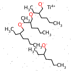 CCCCC(CC)C[O-].CCCCC(CC)C[O-].CCCCC(CC)C[O-].CCCCC(CC)C[O-].[Ti+4]